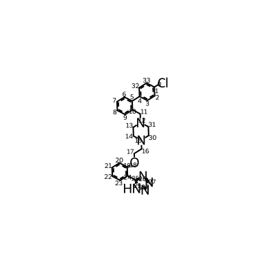 Clc1ccc(-c2ccccc2CN2CCN(CCOc3ccccc3-c3nnn[nH]3)CC2)cc1